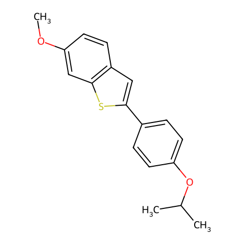 COc1ccc2cc(-c3ccc(OC(C)C)cc3)sc2c1